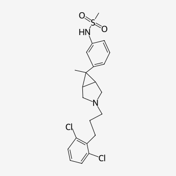 CC1(c2cccc(NS(C)(=O)=O)c2)C2CN(CCCc3c(Cl)cccc3Cl)CC21